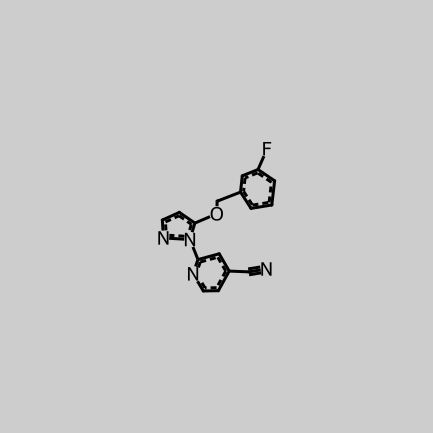 N#Cc1ccnc(-n2nccc2OCc2cccc(F)c2)c1